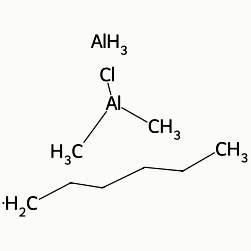 [AlH3].[CH2]CCCCC.[CH3][Al]([CH3])[Cl]